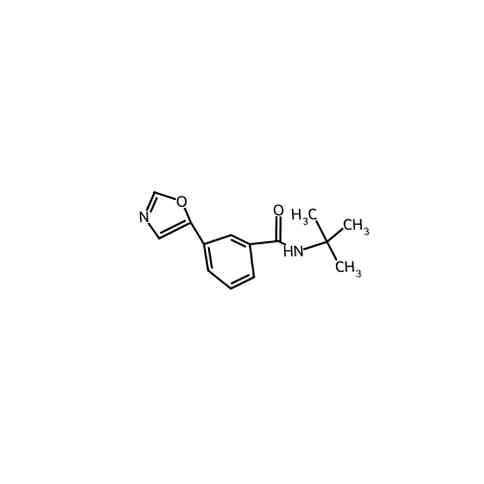 CC(C)(C)NC(=O)c1cccc(-c2cnco2)c1